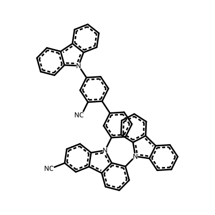 N#Cc1ccc2c(c1)c1cccc(-n3c4ccccc4c4ccccc43)c1n2-c1cccc(-c2ccc(-n3c4ccccc4c4ccccc43)cc2C#N)c1